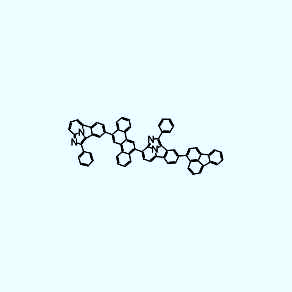 c1ccc(-c2nc3cccc4c5ccc(-c6cc7c8ccccc8c(-c8ccc9c%10ccc(-c%11ccc%12c%13c(cccc%11%13)-c%11ccccc%11-%12)cc%10c%10c(-c%11ccccc%11)nc8n9%10)cc7c7ccccc67)cc5c2n34)cc1